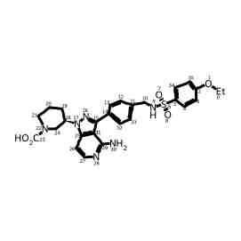 CCOc1ccc(S(=O)(=O)NCc2ccc(-c3nn([C@@H]4CCCN(C(=O)O)C4)c4ccnc(N)c34)cc2)cc1